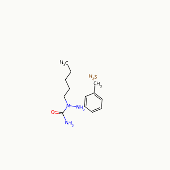 CCCCCN(N)C(N)=O.Cc1ccccc1.S